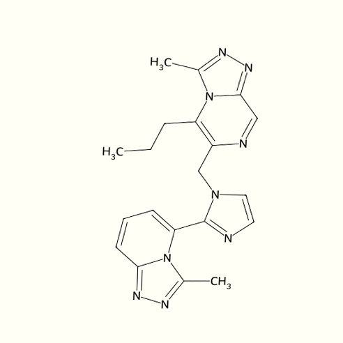 CCCc1c(Cn2ccnc2-c2cccc3nnc(C)n23)ncc2nnc(C)n12